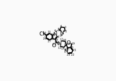 CN1CCC[C@H]1Cn1cc(C(=O)N2CCC3(CC2)OCc2cccnc23)c2ccc(Cl)cc21